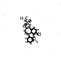 CCS(=O)(=O)CN1C(=O)CN=C(c2ccccc2C)c2cc(Cl)ccc21